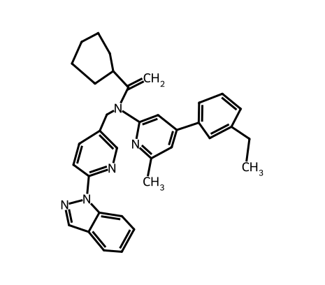 C=C(C1CCCCC1)N(Cc1ccc(-n2ncc3ccccc32)nc1)c1cc(-c2cccc(CC)c2)cc(C)n1